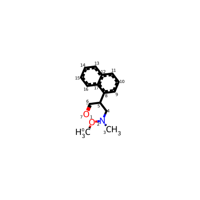 CON(C)CC([C]=O)c1cccc2ccccc12